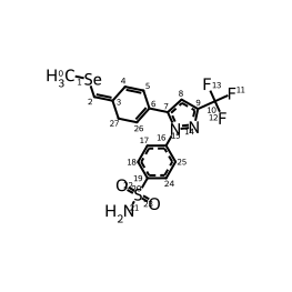 C[Se]C=C1C=CC(c2cc(C(F)(F)F)nn2-c2ccc(S(N)(=O)=O)cc2)=CC1